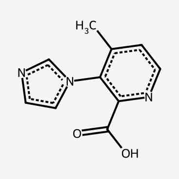 Cc1ccnc(C(=O)O)c1-n1ccnc1